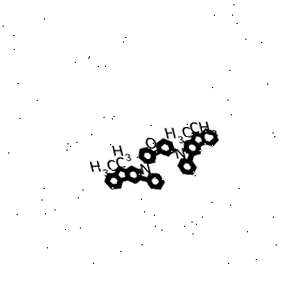 CC1(C)c2ccccc2-c2cc3c4ccccc4n(-c4ccc5oc6ccc(-n7c8ccccc8c8cc9c(cc87)C(C)(C)C7C=CC=CC97)cc6c5c4)c3cc21